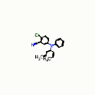 C=C/C=C(\C=C/C)N(c1ccccc1)c1ccc(Cl)c(C#N)c1